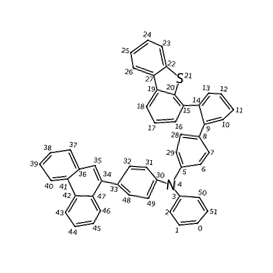 c1ccc(N(c2ccc(-c3ccccc3-c3cccc4c3sc3ccccc34)cc2)c2ccc(-c3cc4ccccc4c4ccccc34)cc2)cc1